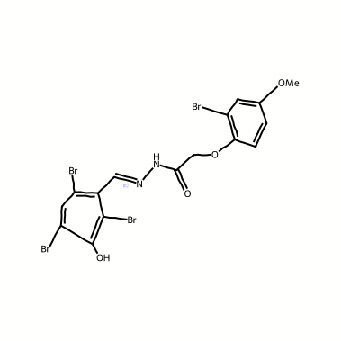 COc1ccc(OCC(=O)N/N=C/c2c(Br)cc(Br)c(O)c2Br)c(Br)c1